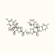 Cc1ccc(CNC(=O)N2CC(OCC(=O)NCC(NS(=O)(=O)c3c(C)cc(C)cc3C)C(=O)O)CC2C(N)c2ccccn2)cc1